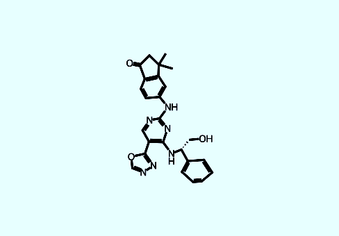 CC1(C)CC(=O)c2ccc(Nc3ncc(-c4nnco4)c(N[C@H](CO)c4ccccc4)n3)cc21